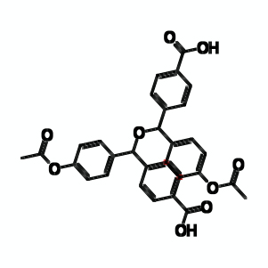 CC(=O)Oc1ccc(C(OC(c2ccc(OC(C)=O)cc2)c2ccc(C(=O)O)cc2)c2ccc(C(=O)O)cc2)cc1